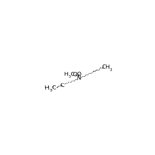 CCCCCCCCCCCCCCN(CCCCCCCCCCCCCC)C(=O)COC